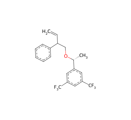 C=CC(CO[C@H](C)c1cc(C(F)(F)F)cc(C(F)(F)F)c1)c1ccccc1